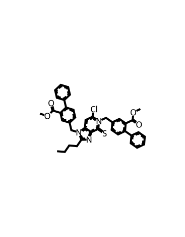 CCCCc1nc2c(=S)n(Cc3ccc(-c4ccccc4)c(C(=O)OC)c3)c(Cl)cc2n1Cc1ccc(-c2ccccc2)c(C(=O)OC)c1